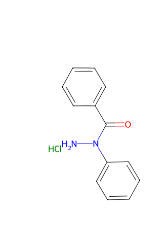 Cl.NN(C(=O)c1ccccc1)c1ccccc1